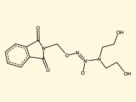 O=C1c2ccccc2C(=O)N1CON=[N+]([O-])N(CCO)CCO